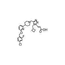 O=C(O)/C=C/c1nnc(CN2CCC(c3cccc(OCc4ccc(Cl)cc4F)n3)CC2)n1CC1CCC1